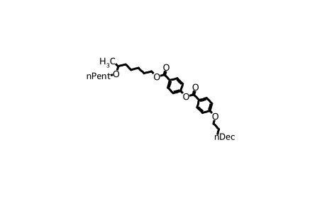 CCCCCCCCCCCCOc1ccc(C(=O)Oc2ccc(C(=O)OCCCCCC(C)OCCCCC)cc2)cc1